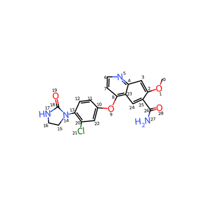 COc1cc2nccc(Oc3ccc(N4CCNC4=O)c(Cl)c3)c2cc1C(N)=O